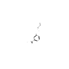 CCCNSc1cccc(C(=O)OC)c1